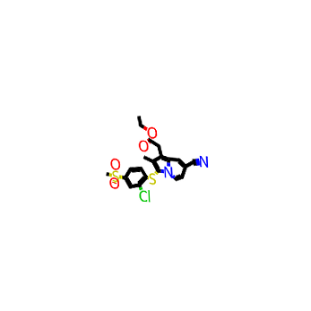 CCOC(=O)Cc1c(C)c(Sc2ccc(S(C)(=O)=O)cc2Cl)n2ccc(C#N)cc12